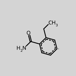 CCc1c[c]ccc1C(N)=O